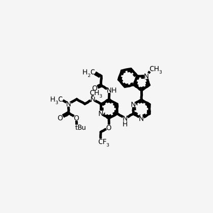 C=CC(=O)Nc1cc(Nc2nccc(-c3cn(C)c4ccccc34)n2)c(OCC(F)(F)F)nc1N(C)CCN(C)C(=O)OC(C)(C)C